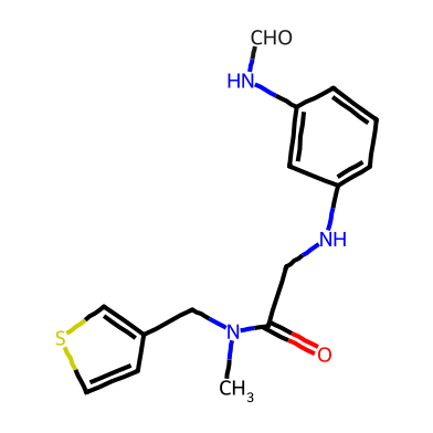 CN(Cc1ccsc1)C(=O)CNc1cccc(NC=O)c1